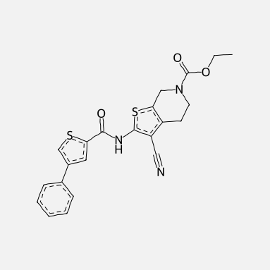 CCOC(=O)N1CCc2c(sc(NC(=O)c3cc(-c4ccccc4)cs3)c2C#N)C1